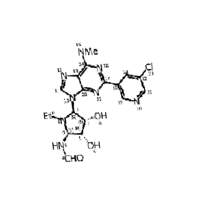 CCN1[C@H](NC=O)[C@@H](O)[C@@H](O)[C@@H]1n1cnc2c(NC)nc(-c3cncc(Cl)c3)nc21